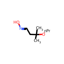 CCCOC(C)(C)CC=NO